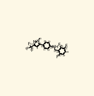 Cn1nc(C(F)(F)F)cc1-c1ccc(NCc2c(F)ccc(F)c2F)cc1